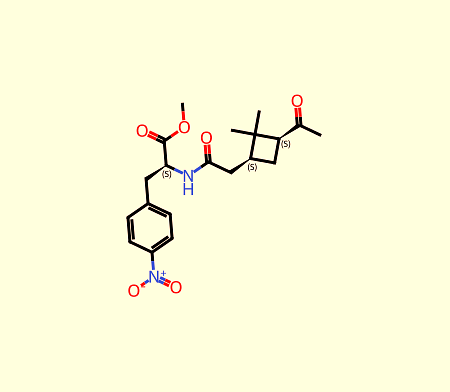 COC(=O)[C@H](Cc1ccc([N+](=O)[O-])cc1)NC(=O)C[C@@H]1C[C@H](C(C)=O)C1(C)C